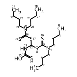 CCCCN(CCCC)C(=S)SC(NC(O)=S)SC(=S)N(CCCC)CCCC